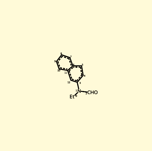 CCN(C=O)c1ccc2ccccc2c1